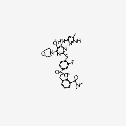 COc1c(Nc2cc(C)[nH]n2)nc(Sc2ccc(S(=O)(=O)Cc3cccc(C(=O)N(C)C)c3F)cc2F)nc1N1CCOCC1